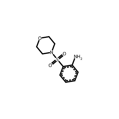 Nc1ccccc1S(=O)(=O)N1CCOCC1